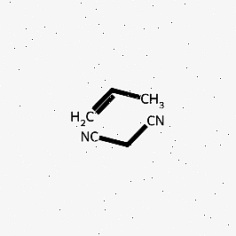 C=CC.N#CCC#N